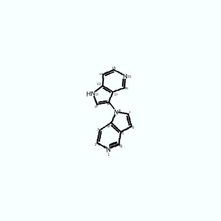 [c]1nccc2c1ccn2-c1c[nH]c2ccncc12